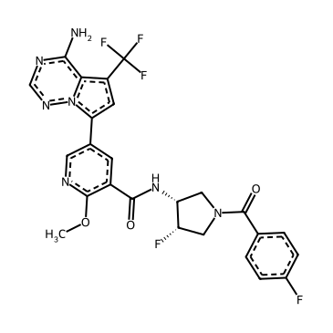 COc1ncc(-c2cc(C(F)(F)F)c3c(N)ncnn23)cc1C(=O)N[C@@H]1CN(C(=O)c2ccc(F)cc2)C[C@@H]1F